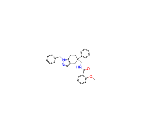 COc1ccccc1C(=O)NCC1(c2ccccc2)CCc2c(cnn2Cc2ccccc2)C1